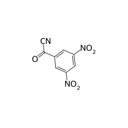 N#CC(=O)c1cc([N+](=O)[O-])cc([N+](=O)[O-])c1